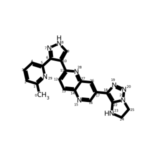 Cc1cccc(-c2n[nH]cc2-c2ccc3ncc(-c4nnn5c4NCC5)cc3n2)n1